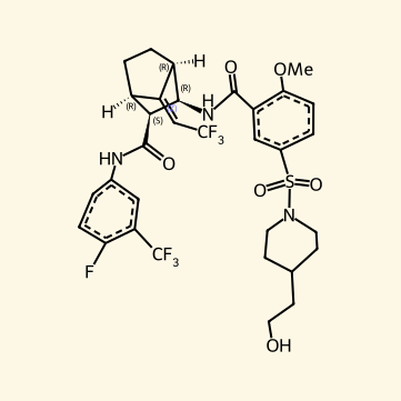 COc1ccc(S(=O)(=O)N2CCC(CCO)CC2)cc1C(=O)N[C@H]1[C@@H](C(=O)Nc2ccc(F)c(C(F)(F)F)c2)[C@H]2CC[C@@H]1/C2=C\C(F)(F)F